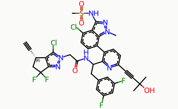 C#C[C@H]1CC(F)(F)c2nn(CC(=O)NC(Cc3cc(F)cc(F)c3)c3nc(C#CC(C)(C)O)ccc3-c3ccc(Cl)c4c(NS(C)(=O)=O)nn(C)c34)c(Cl)c21